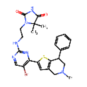 CC(C)N1Cc2cc(-c3nc(NCCN4C(=O)NC(=O)C4(C)C)ncc3Br)sc2C(c2ccccc2)C1